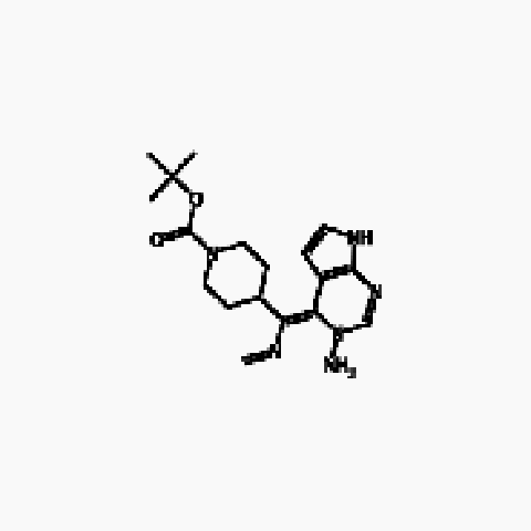 C=N/C(=C1/c2cc[nH]c2N=CN1N)C1CCN(C(=O)OC(C)(C)C)CC1